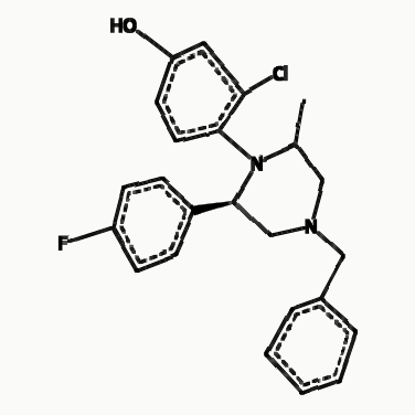 CC1CN(Cc2ccccc2)C[C@@H](c2ccc(F)cc2)N1c1ccc(O)cc1Cl